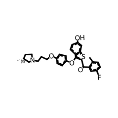 Cc1ccc(F)cc1C(=O)c1sc2cc(O)ccc2c1Oc1ccc(OCCCN2CC[C@@H](C)C2)cc1